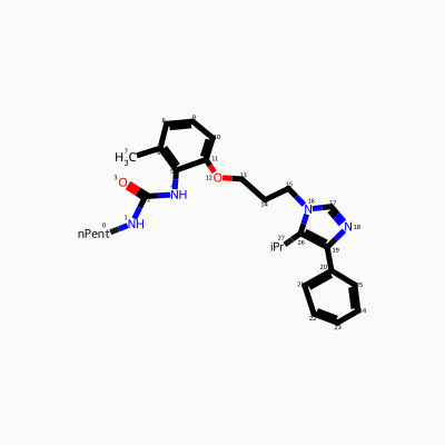 CCCCCNC(=O)Nc1c(C)cccc1OCCCn1cnc(-c2ccccc2)c1C(C)C